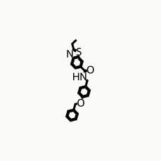 CCc1nc2ccc(C(=O)NCc3ccc(OCc4ccccc4)cc3)cc2s1